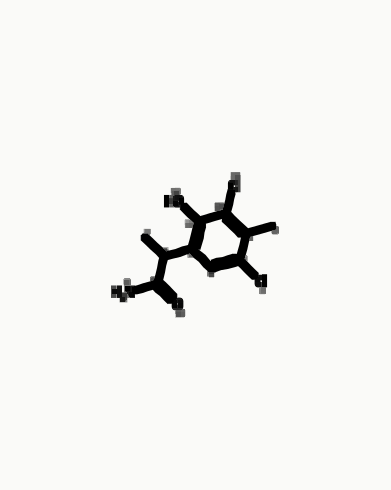 Cc1c(Cl)cc(C(C)C(N)=O)c(O)c1Cl